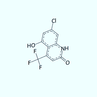 O=c1cc(C(F)(F)F)c2c(O)cc(Cl)cc2[nH]1